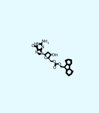 Nc1nc2c(ncn2[C@H]2C[C@H](O)[C@@H](COC(=O)OCC3c4ccccc4-c4ccccc43)O2)c(=O)[nH]1